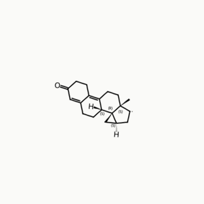 C[C@@]12[CH]C[C@H]3C[C@]31[C@@H]1CCC3=CC(=O)CCC3=C1CC2